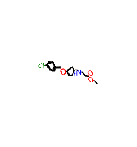 CCOC(=O)CCNC[C@H]1CC[C@H](OCc2ccc(Cl)cc2)CC1